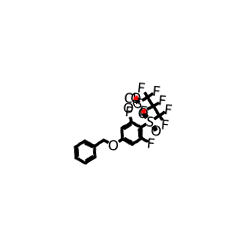 O=S(=O)(Cl)C(F)(F)C(F)(F)C(F)(F)S(=O)(=O)c1c(F)cc(OCc2ccccc2)cc1F